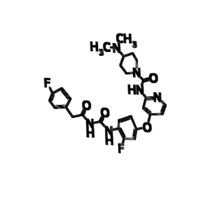 CN(C)C1CCN(C(=O)Nc2cc(Oc3ccc(NC(=O)NC(=O)Cc4ccc(F)cc4)c(F)c3)ccn2)CC1